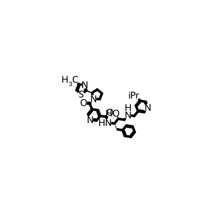 Cc1csc([C@H]2CCCN2C(=O)c2cncc(C(=O)N[C@@H](Cc3ccccc3)[C@H](O)CNCc3cncc(C(C)C)c3)c2)n1